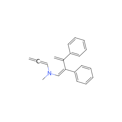 C=C=CN(C)/C=C(\C(=C)c1ccccc1)c1ccccc1